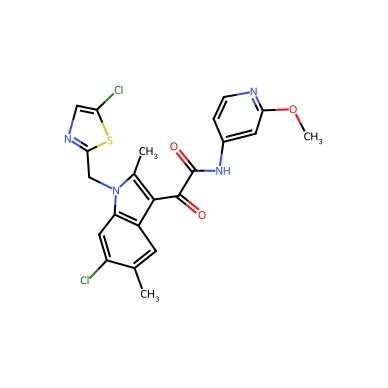 COc1cc(NC(=O)C(=O)c2c(C)n(Cc3ncc(Cl)s3)c3cc(Cl)c(C)cc23)ccn1